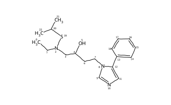 CCN(CC(O)CCn1cncc1-c1ccccc1)SC(C)C